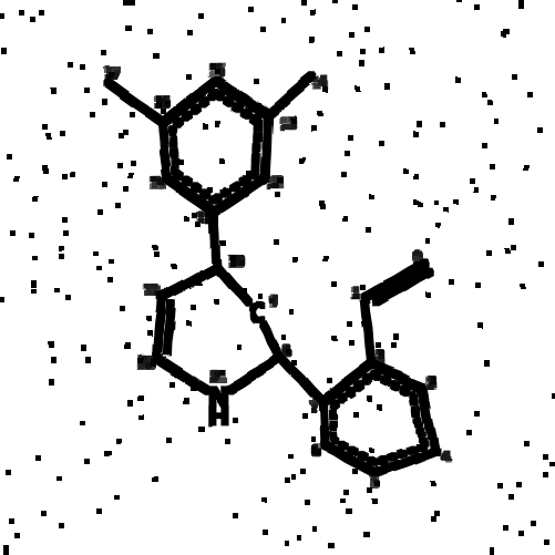 C=Cc1ccccc1C1CC(c2cc(C)cc(C)c2)C=CN1